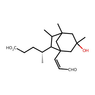 CC1C([C@H](C)CCC(=O)O)C2(/C=C\C=O)CC(C)(O)CC1(C)C2